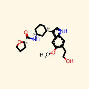 COc1cc2c([C@@H]3CCC[C@H](NC(=O)[C@@H]4CCCO4)C3)c[nH]c2cc1CCO